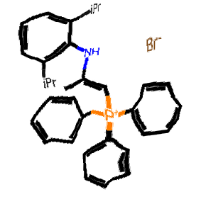 CC(=C[P+](c1ccccc1)(c1ccccc1)c1ccccc1)Nc1c(C(C)C)cccc1C(C)C.[Br-]